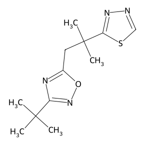 CC(C)(C)c1noc(CC(C)(C)c2nncs2)n1